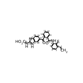 C=Cc1cccc(NC(=O)c2ccccc2C(=O)c2ccc3nc(NC(=O)O)[nH]c3c2)c1F